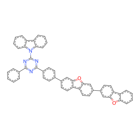 c1ccc(-c2nc(-c3ccc(-c4ccc5c(c4)oc4cc(-c6ccc7c(c6)oc6ccccc67)ccc45)cc3)nc(-n3c4ccccc4c4ccccc43)n2)cc1